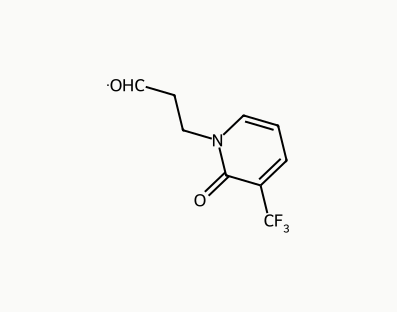 O=[C]CCn1cccc(C(F)(F)F)c1=O